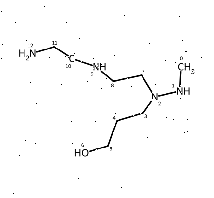 CNN(CCCO)CCNCCN